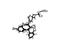 CC(C)(C)OC(=O)N1CC2(CCN(c3nc4cc(Br)ccc4c(-c4ccccc4Cl)c3C#N)C2)C1